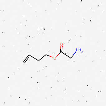 C=CCCOC(=O)CN